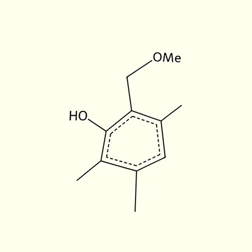 COCc1c(C)cc(C)c(C)c1O